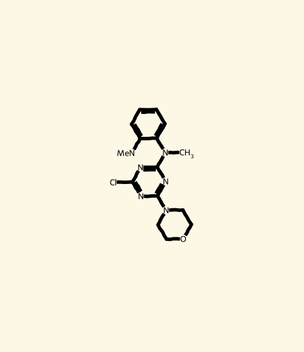 CNc1ccccc1N(C)c1nc(Cl)nc(N2CCOCC2)n1